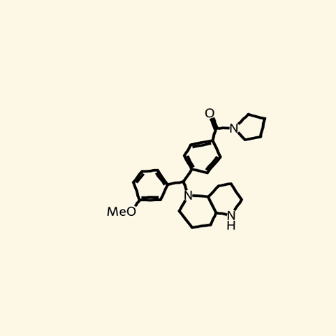 COc1cccc(C(c2ccc(C(=O)N3CCCC3)cc2)N2CCCC3NCCCC32)c1